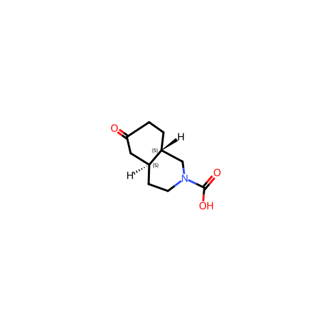 O=C1CC[C@@H]2CN(C(=O)O)CC[C@H]2C1